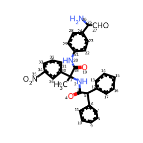 CC(NC(=O)C(c1ccccc1)c1ccccc1)(C(=O)Nc1ccc(C(N)C=O)cc1)c1cccc([N+](=O)[O-])c1